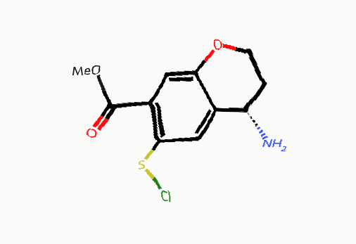 COC(=O)c1cc2c(cc1SCl)[C@@H](N)CCO2